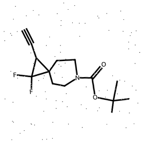 C#CC1C(F)(F)C12CCN(C(=O)OC(C)(C)C)CC2